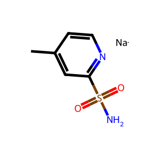 Cc1ccnc(S(N)(=O)=O)c1.[Na]